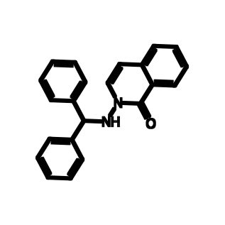 O=c1c2ccccc2ccn1NC(c1ccccc1)c1ccccc1